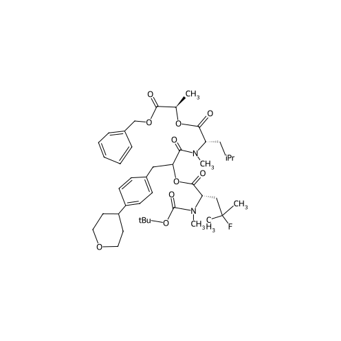 CC(C)C[C@@H](C(=O)O[C@H](C)C(=O)OCc1ccccc1)N(C)C(=O)C(Cc1ccc(C2CCOCC2)cc1)OC(=O)[C@H](CC(C)(C)F)N(C)C(=O)OC(C)(C)C